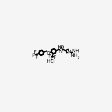 Cl.N=C(N)N1CC(c2nc(-c3ccc(OCc4ccc(C(F)(F)F)cc4)c(C(F)(F)F)c3)no2)C1